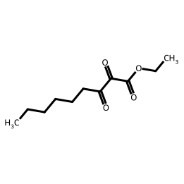 CCCCCCC(=O)C(=O)C(=O)OCC